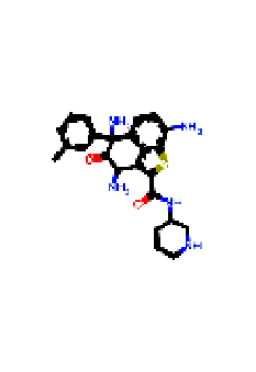 Cc1cccc(C2(N)C(=O)C(N)c3c(C(=O)NC4CCCNC4)sc4c(N)ccc2c34)c1